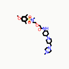 COc1cc(C)c(S(=O)(=O)N(C)CCOCC(=O)NC2CCC(N3CCC(CN4CCN(C)CC4)CC3)CC2)c(C)c1